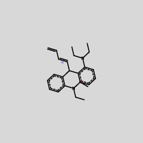 C=C/C=C/[C](c1ccccc1N(CC)CC)c1ccccc1N(CC)CC